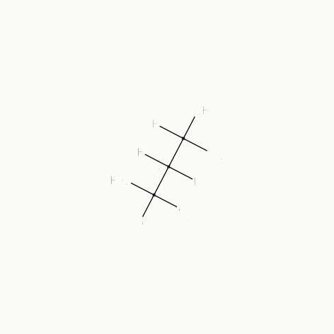 [O]C(C(F)(F)F)(C(F)(F)F)C(F)(F)C(F)(F)C(F)(F)F